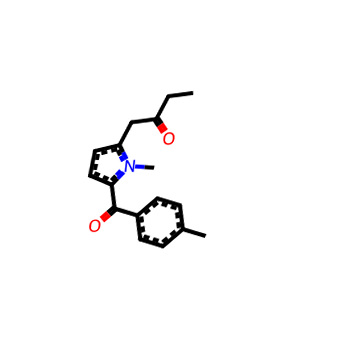 CCC(=O)Cc1ccc(C(=O)c2ccc(C)cc2)n1C